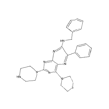 c1ccc(CNc2nc3nc(N4CCNCC4)nc(N4CCSCC4)c3nc2-c2ccccc2)cc1